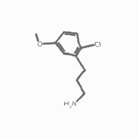 COc1ccc(Cl)c(CCCN)c1